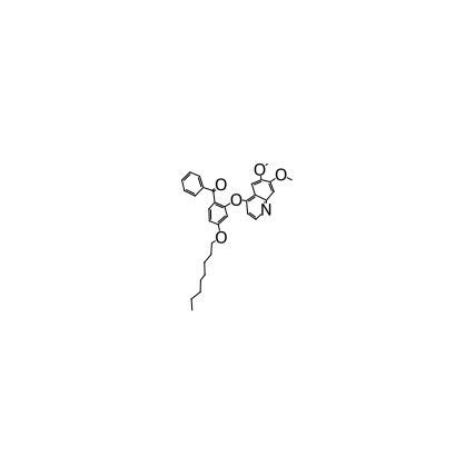 CCCCCCCCOc1ccc(C(=O)c2ccccc2)c(Oc2ccnc3cc(OC)c(OC)cc23)c1